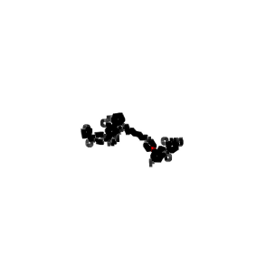 O=C1CCC(N2Cc3c(cc(F)cc3C3CCN(CCCCCCCOc4cccc(F)c4-c4c(Cl)cc5c(N6CCN(C(=O)C7CCOC7)CC6)ncnc5c4F)CC3)C2=O)C(=O)N1